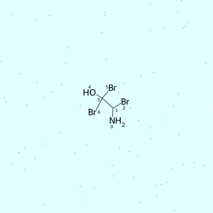 NC(Br)C(O)(Br)Br